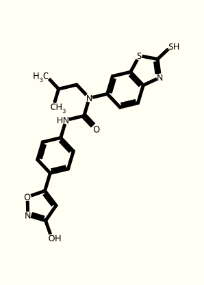 CC(C)CN(C(=O)Nc1ccc(-c2cc(O)no2)cc1)c1ccc2nc(S)sc2c1